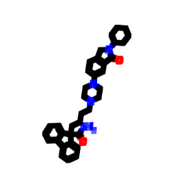 NC(=O)C1(CCCCN2CCN(c3ccc4c(c3)C(=O)N(C3CCCCC3)C4)CC2)c2ccccc2-c2ccccc21